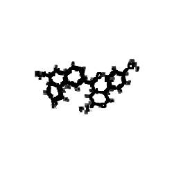 Nc1nc2ccc(C(=O)N3CC(C(F)(F)F)OCC3c3ccc(C(F)(F)F)cn3)cc2n2cncc12